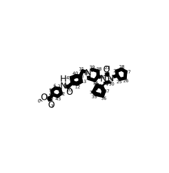 COC(=O)C1CCC(NC(=O)c2ccc(CN3CCC(N4C(=O)N(C5CCCCC5)C[C@H]4c4ccccc4)CC3)cc2)CC1